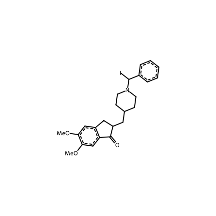 COc1cc2c(cc1OC)C(=O)C(CC1CCN(C(I)c3ccccc3)CC1)C2